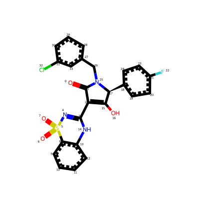 O=C1C(C2=NS(=O)(=O)c3ccccc3N2)=C(O)[C@H](c2ccc(F)cc2)N1Cc1cccc(Cl)c1